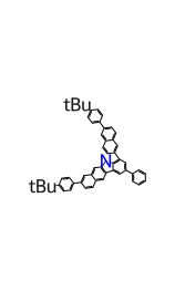 CC(C)(C)c1ccc(-c2ccc3cc4c5cc(-c6ccccc6)cc6c7cc8ccc(-c9ccc(C(C)(C)C)cc9)cc8cc7n(c4cc3c2)c56)cc1